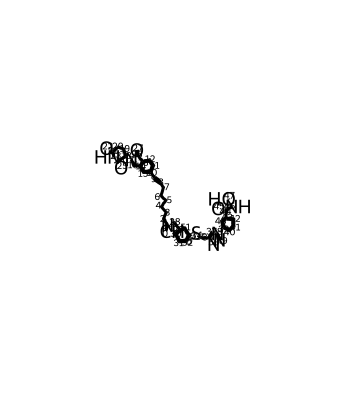 CN(CCCCCCC#Cc1ccc2c(c1)CN(C1CCC(=O)NC1=O)C2=O)Cc1cccc(SCc2cn(-c3cccc(C(=O)NO)c3)nn2)c1